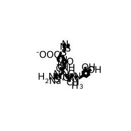 CC(ON=C(C(=O)NC1C(=O)N2CC(CSc3nncs3)(C(=O)[O-])CS[C@H]12)c1csc(N)n1)C(=O)NN=Cc1ccc(O)c(O)c1.[Na+]